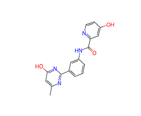 Cc1cc(O)nc(-c2cccc(NC(=O)c3cc(O)ccn3)c2)n1